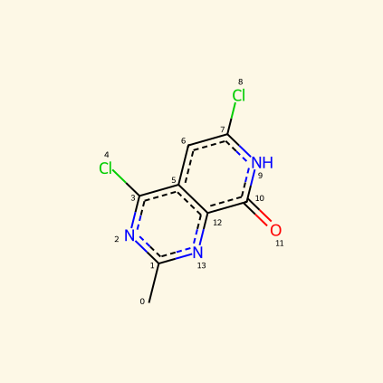 Cc1nc(Cl)c2cc(Cl)[nH]c(=O)c2n1